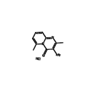 CCCc1c(C)nc2cccc(C)n2c1=O.Cl